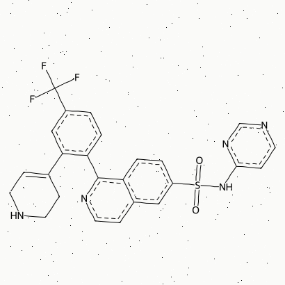 O=S(=O)(Nc1ccncn1)c1ccc2c(-c3ccc(C(F)(F)F)cc3C3=CCNCC3)nccc2c1